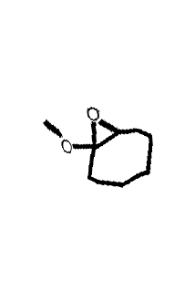 COC12CCCCC1O2